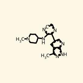 Cc1n[nH]c2ncc(-c3nccnc3NC3CCN(C)CC3)cc12